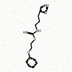 N=C(NCCCc1c[nH]cn1)SCCOc1ccccc1